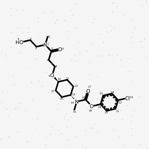 CN(CCO)C(=O)CCO[C@H]1CC[C@H](N(C)C(=O)Oc2ccc(Cl)cc2)CC1